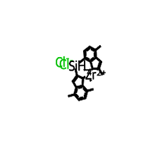 CC1=Cc2c(C)ccc(C)c2[CH]1[Zr+2]([CH3])([CH3])[CH]1C(C)=Cc2c(C)ccc(C)c21.[Cl-].[Cl-].[SiH4]